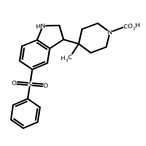 CC1(C2CNc3ccc(S(=O)(=O)c4ccccc4)cc32)CCN(C(=O)O)CC1